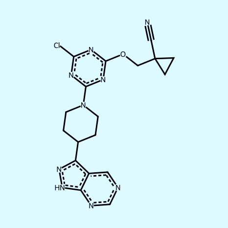 N#CC1(COc2nc(Cl)nc(N3CCC(c4n[nH]c5ncncc45)CC3)n2)CC1